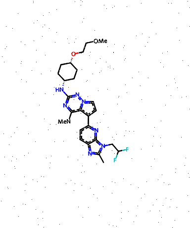 CNc1nc(N[C@H]2CC[C@@H](OCCOC)CC2)nn2ccc(-c3ccc4nc(C)n(CC(F)F)c4n3)c12